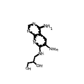 CNc1cc2c(N)ncnc2nc1NCC(O)CO